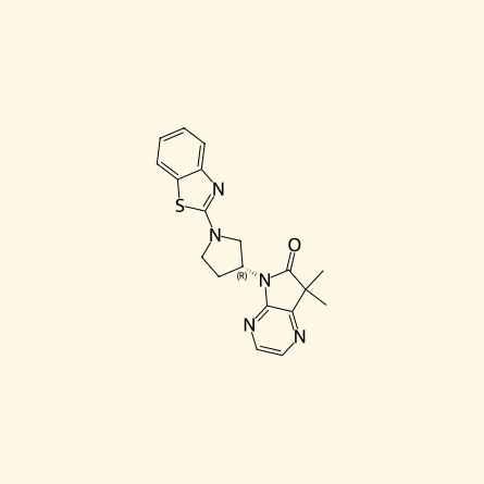 CC1(C)C(=O)N([C@@H]2CCN(c3nc4ccccc4s3)C2)c2nccnc21